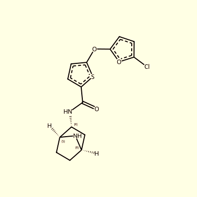 O=C(N[C@@H]1C[C@H]2CC[C@@H]1N2)c1ccc(Oc2ccc(Cl)o2)s1